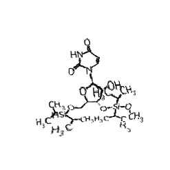 CO[Si](O[C@H]1[C@@H](O)[C@H](n2ccc(=O)[nH]c2=O)O[C@@H]1CO[SiH](C(C)C)C(C)C)(C(C)C)C(C)C